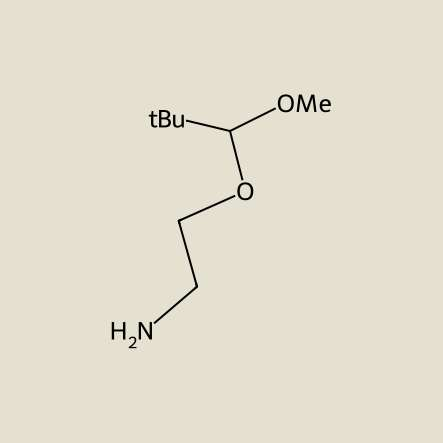 COC(OCCN)C(C)(C)C